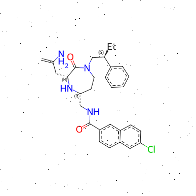 C=C(N)C[C@H]1N[C@@H](CNC(=O)c2ccc3cc(Cl)ccc3c2)CCN(C[C@@H](CC)c2ccccc2)C1=O